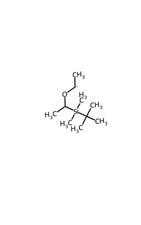 C[CH]OC(C)[Si](C)(C)C(C)(C)C